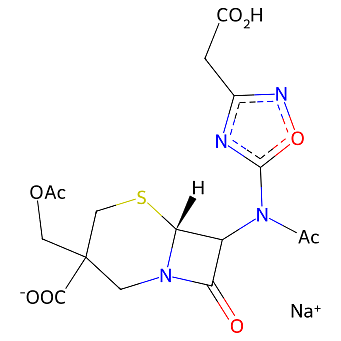 CC(=O)OCC1(C(=O)[O-])CS[C@@H]2C(N(C(C)=O)c3nc(CC(=O)O)no3)C(=O)N2C1.[Na+]